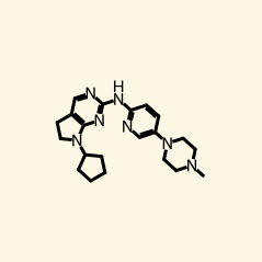 CN1CCN(c2ccc(Nc3ncc4c(n3)N(C3CCCC3)CC4)nc2)CC1